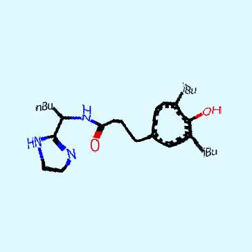 CCCCC(NC(=O)CCc1cc(C(C)CC)c(O)c(C(C)CC)c1)C1=NCCN1